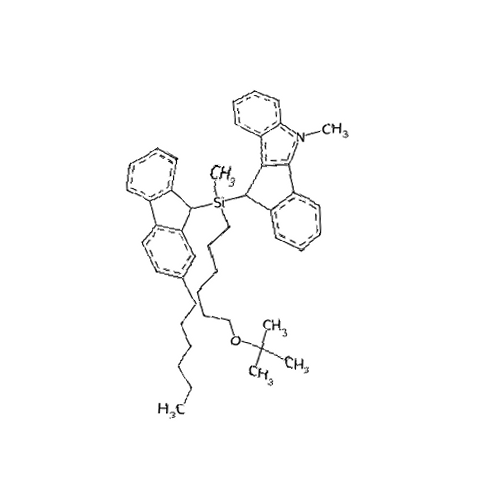 CCCCCCc1ccc2c(c1)C([Si](C)(CCCCCCOC(C)(C)C)C1c3ccccc3-c3c1c1ccccc1n3C)c1ccccc1-2